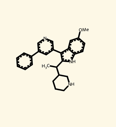 COc1ccc2[nH]c(C(C)C3CCCNC3)c(-c3cncc(-c4ccccc4)c3)c2c1